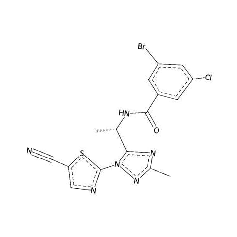 Cc1nc([C@H](C)NC(=O)c2cc(Cl)cc(Br)c2)n(-c2ncc(C#N)s2)n1